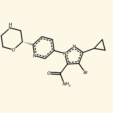 NC(=O)c1c(Br)c(C2CC2)nn1-c1ccc([C@H]2CNCCO2)nc1